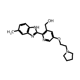 Cc1ccc2[nH]c(-c3ncc(OCCN4CCCC4)cc3CO)nc2c1